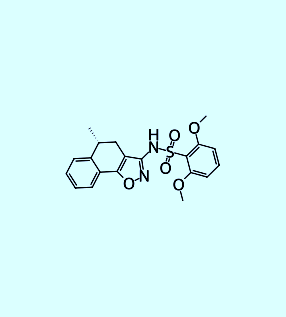 COc1cccc(OC)c1S(=O)(=O)Nc1noc2c1C[C@@H](C)c1ccccc1-2